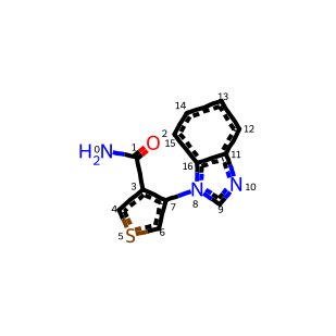 NC(=O)c1cscc1-n1cnc2ccccc21